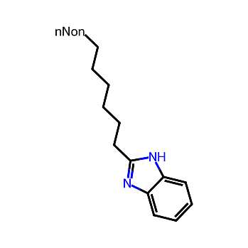 CCCCCCCCCCCCCCCc1nc2ccccc2[nH]1